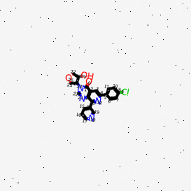 O=c1c2cc(-c3ccc(Cl)cc3)nc(-c3cccnc3)c2ncn1C1COC[C@@H]1O